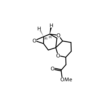 COC(=O)CC1CCC2O[C@@H]3CC2(CC2O[C@H]23)O1